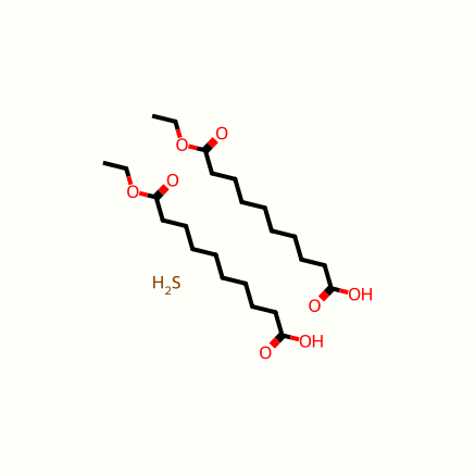 CCOC(=O)CCCCCCCCC(=O)O.CCOC(=O)CCCCCCCCC(=O)O.S